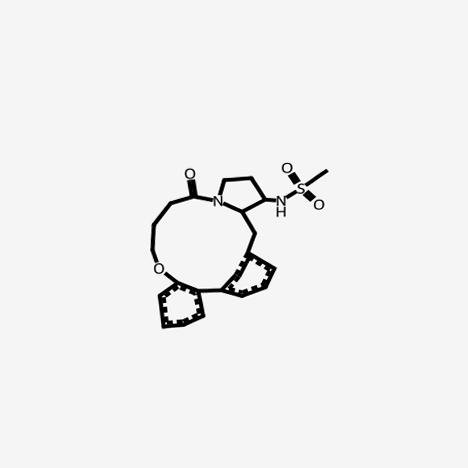 CS(=O)(=O)NC1CCN2C(=O)CCCOc3ccccc3-c3cccc(c3)CC12